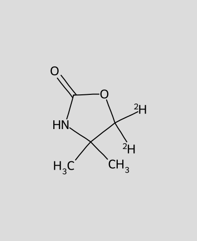 [2H]C1([2H])OC(=O)NC1(C)C